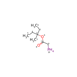 CCC(C)(CC)OC(=O)C[PH4]